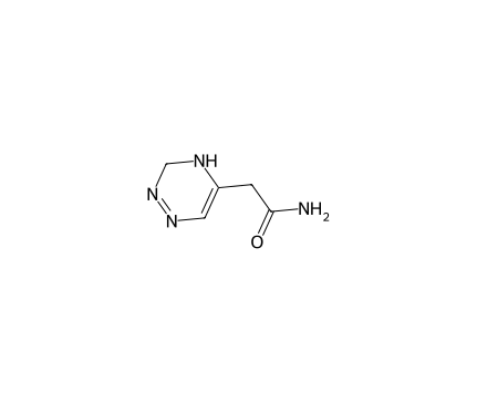 NC(=O)CC1=CN=NCN1